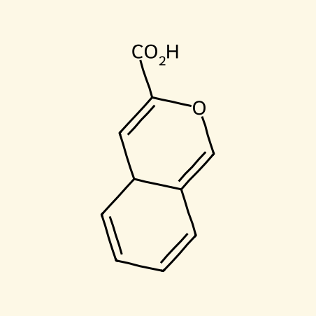 O=C(O)C1=CC2C=CC=CC2=CO1